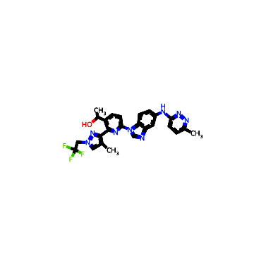 Cc1ccc(Nc2ccc3c(c2)ncn3-c2ccc(C(C)O)c(-c3nn(CC(F)(F)F)cc3C)n2)nn1